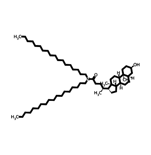 CCCCCCCCCCCCCCCCCCN(CCCCCCCCCCCCCCCCCC)C(=O)CC[C@@H](C)[C@H]1CC[C@H]2[C@@H]3CC[C@@H]4C[C@H](O)CC[C@]4(C)[C@H]3CC[C@]12C